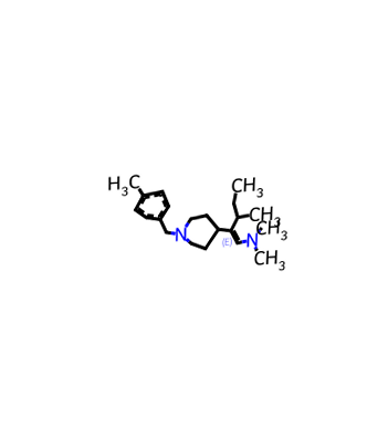 CCC(C)/C(=C\N(C)C)C1CCN(Cc2ccc(C)cc2)CC1